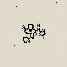 Cc1cnc(NC(=O)c2cccc3c(=O)cc(-c4cccnc4C(F)(F)F)oc23)s1